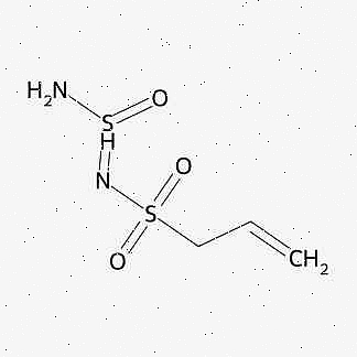 C=CCS(=O)(=O)/N=[SH](/N)=O